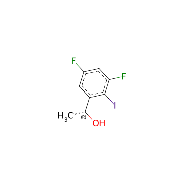 C[C@@H](O)c1cc(F)cc(F)c1I